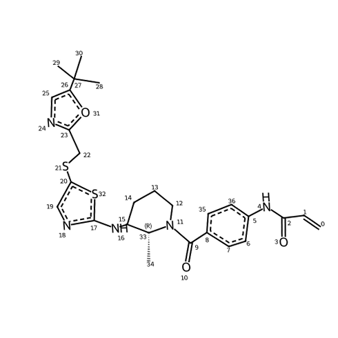 C=CC(=O)Nc1ccc(C(=O)N2CCCC(Nc3ncc(SCc4ncc(C(C)(C)C)o4)s3)[C@H]2C)cc1